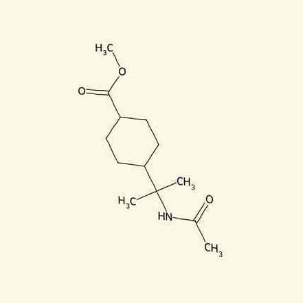 COC(=O)C1CCC(C(C)(C)NC(C)=O)CC1